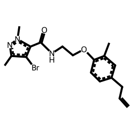 C=CCc1ccc(OCCNC(=O)c2c(Br)c(C)nn2C)c(C)c1